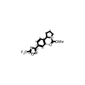 COC(=O)N1CCCC1c1ccc(-c2noc(C(F)(F)F)n2)cc1